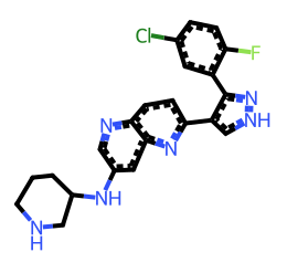 Fc1ccc(Cl)cc1-c1n[nH]cc1-c1ccc2ncc(NC3CCCNC3)cc2n1